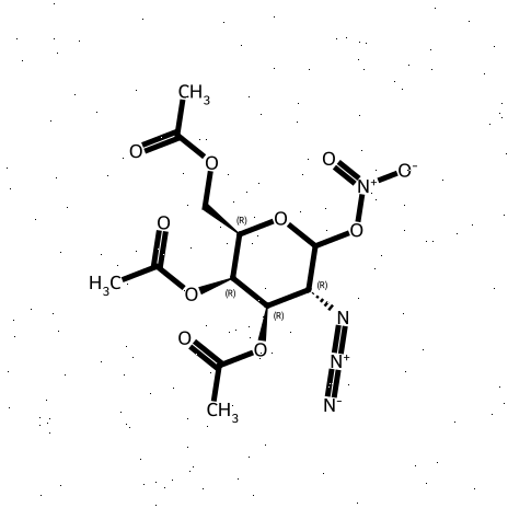 CC(=O)OC[C@H]1OC(O[N+](=O)[O-])[C@H](N=[N+]=[N-])[C@@H](OC(C)=O)[C@H]1OC(C)=O